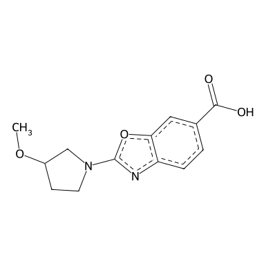 COC1CCN(c2nc3ccc(C(=O)O)cc3o2)C1